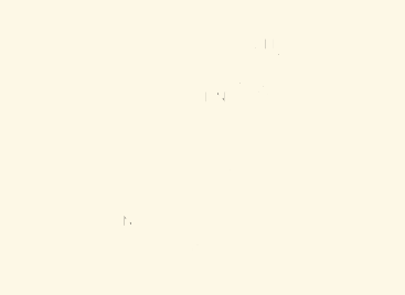 C=CC(=O)Nc1cccc(-c2ccc3nccc(Cl)c3c2)c1